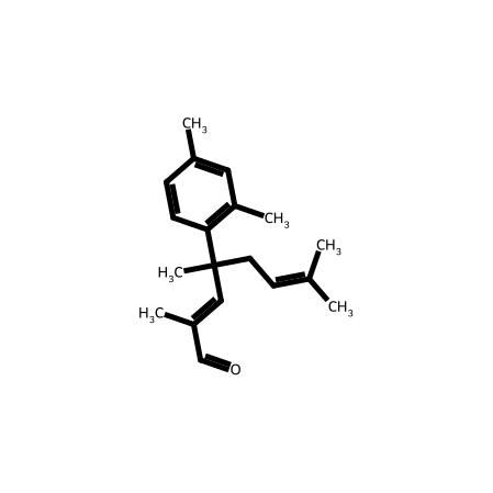 CC(C)=CCC(C)(/C=C(\C)C=O)c1ccc(C)cc1C